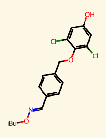 CCC(C)ON=Cc1ccc(COc2c(Cl)cc(O)cc2Cl)cc1